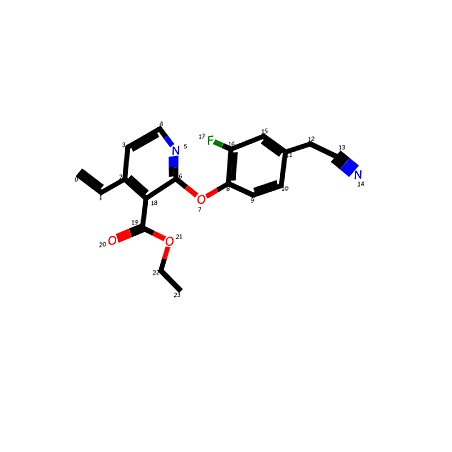 C=Cc1ccnc(Oc2ccc(CC#N)cc2F)c1C(=O)OCC